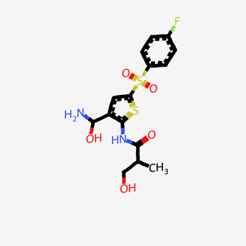 CC(CO)C(=O)Nc1sc(S(=O)(=O)c2ccc(F)cc2)cc1C(N)O